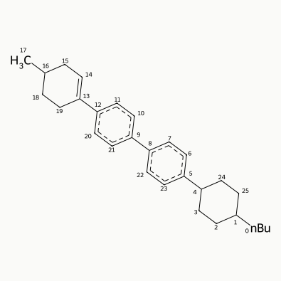 CCCCC1CCC(c2ccc(-c3ccc(C4=CCC(C)CC4)cc3)cc2)CC1